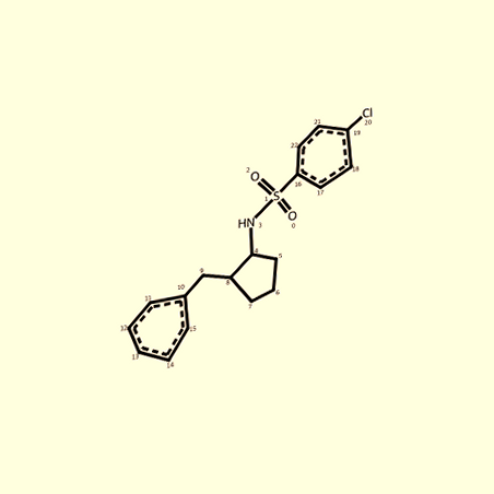 O=S(=O)(NC1CCCC1Cc1ccccc1)c1ccc(Cl)cc1